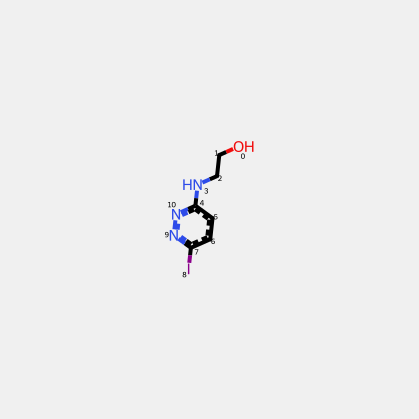 OCCNc1ccc(I)nn1